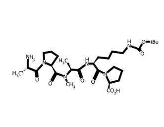 C[C@H](N)C(=O)N1CCC[C@H]1C(=O)N(C)[C@@H](C)C(=O)N[C@@H](CCCCNC(=O)OC(C)(C)C)C(=O)N1CCC[C@H]1C(=O)O